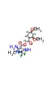 CN/C(N)=C(\C(=N)C(F)(F)F)C(=O)OCC(=O)c1ccc(OC)cc1OC